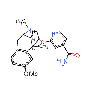 COc1ccc2c(c1)[C@@]1(C)CCN(C)C(C2)[C@@H]1COc1cc(C(N)=O)ccn1